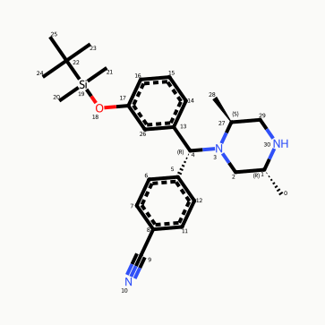 C[C@@H]1CN([C@H](c2ccc(C#N)cc2)c2cccc(O[Si](C)(C)C(C)(C)C)c2)[C@@H](C)CN1